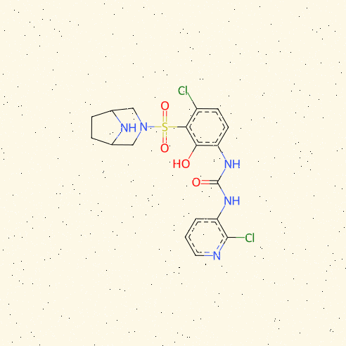 O=C(Nc1cccnc1Cl)Nc1ccc(Cl)c(S(=O)(=O)N2CC3CCC(C2)N3)c1O